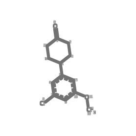 O=C1CCC(c2cc(Cl)cc(OC(F)(F)F)c2)CC1